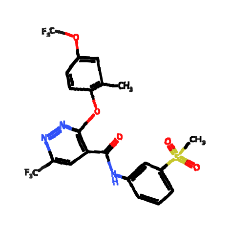 Cc1cc(OC(F)(F)F)ccc1Oc1nnc(C(F)(F)F)cc1C(=O)Nc1cccc(S(C)(=O)=O)c1